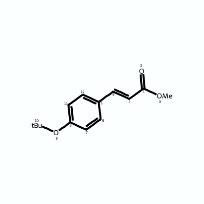 COC(=O)C=Cc1ccc(OC(C)(C)C)cc1